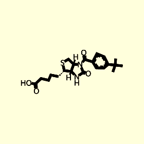 CC(C)(C)c1ccc(C(=O)N2C(=O)N[C@@H]3[C@H](CCCCC(=O)O)SC[C@@H]32)cc1